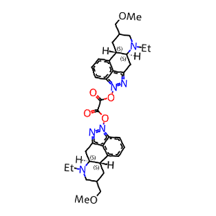 CCN1CC(COC)C[C@H]2c3cccc4c3c(nn4OC(=O)C(=O)On3nc4c5c(cccc53)[C@@H]3CC(COC)CN(CC)[C@H]3C4)C[C@@H]21